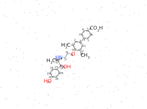 Cc1cc(-c2ccc(C(=O)O)cc2)cc(C)c1OCCN[C@H](C)[C@@H](O)c1ccc(O)cc1